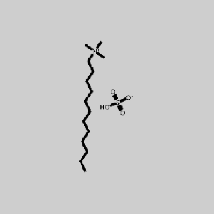 CCCCCCCCCCCC[N+](C)(C)C.O=S(=O)([O-])O